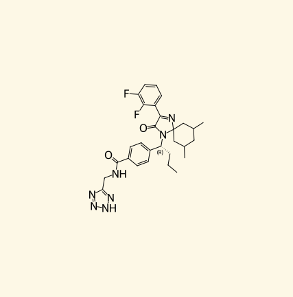 CCC[C@H](c1ccc(C(=O)NCc2nn[nH]n2)cc1)N1C(=O)C(c2cccc(F)c2F)=NC12CC(C)CC(C)C2